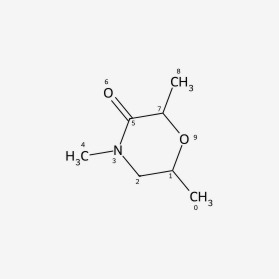 CC1CN(C)C(=O)C(C)O1